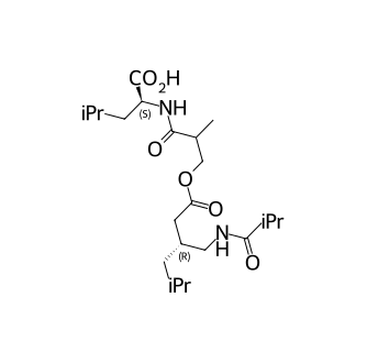 CC(C)C[C@@H](CNC(=O)C(C)C)CC(=O)OCC(C)C(=O)N[C@@H](CC(C)C)C(=O)O